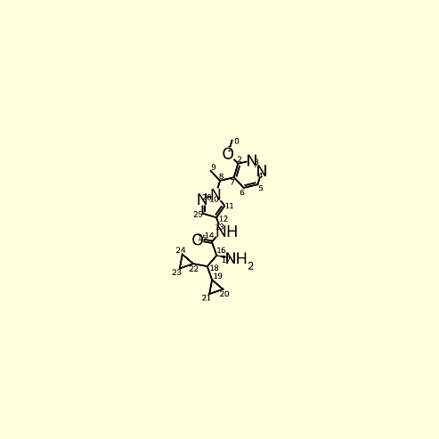 COc1nnccc1C(C)n1cc(NC(=O)[C@@H](N)C(C2CC2)C2CC2)cn1